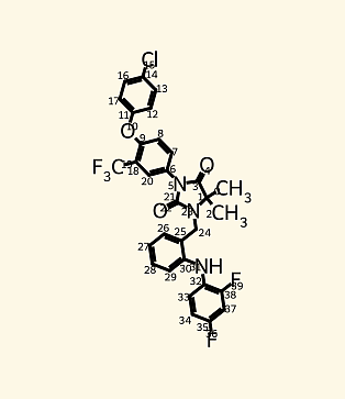 CC1(C)C(=O)N(c2ccc(Oc3ccc(Cl)cc3)c(C(F)(F)F)c2)C(=O)N1Cc1ccccc1Nc1ccc(F)cc1F